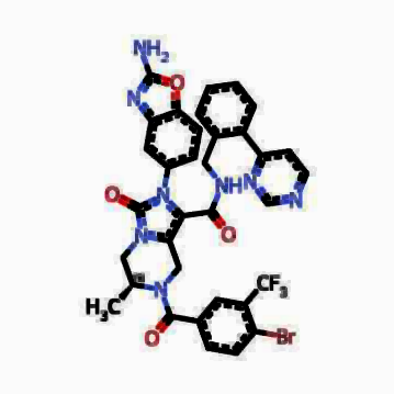 C[C@H]1Cn2c(c(C(=O)NCc3ccccc3-c3ccncn3)n(-c3ccc4oc(N)nc4c3)c2=O)CN1C(=O)c1ccc(Br)c(C(F)(F)F)c1